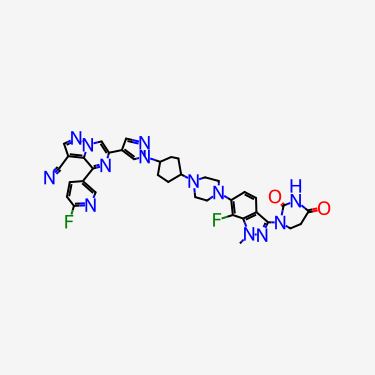 Cn1nc(N2CCC(=O)NC2=O)c2ccc(N3CCN(C4CCC(n5cc(-c6cn7ncc(C#N)c7c(-c7ccc(F)nc7)n6)cn5)CC4)CC3)c(F)c21